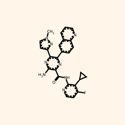 Cn1ccc(-c2nc(N)c(C(=O)Nc3nccc(F)c3C3CC3)nc2-c2ccc3ncccc3c2)n1